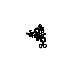 CCc1ccc(C(=O)OC)cc1S(=O)(=O)Nc1cc(S(C)(=O)=O)ccc1-c1ccc(C)s1